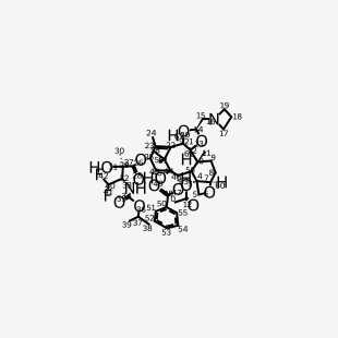 CC(=O)O[C@@]12CO[C@@H]1CC[C@@]1(C)[C@@H]3O[C@H](CN4CCC4)O[C@@H]3C3=C(C)[C@@H](OC(=O)[C@](C)(O)[C@@H](NC(=O)OC(C)C)C(F)F)C[C@@](O)([C@@H](OC(=O)c4ccccc4)[C@@H]12)C3(C)C